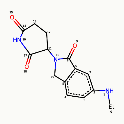 CCNc1ccc2c(c1)C(=O)N(C1CCC(=O)NC1=O)C2